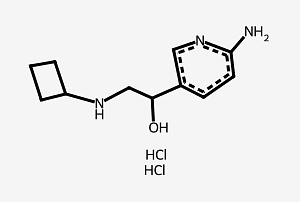 Cl.Cl.Nc1ccc(C(O)CNC2CCC2)cn1